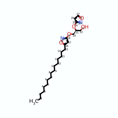 CCCCCCCCCCCCCCCCc1cc(OC[C@H](CO)Oc2ccon2)no1